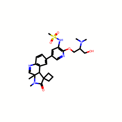 CN(C)C(CO)COc1ncc(-c2ccc3c(c2)C2C4(CCC4)C(=O)N(C)C2(C)C=N3)cc1NS(C)(=O)=O